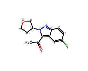 COC(=O)c1c2cc(Br)ccc2nn1[C@H]1CCOC1